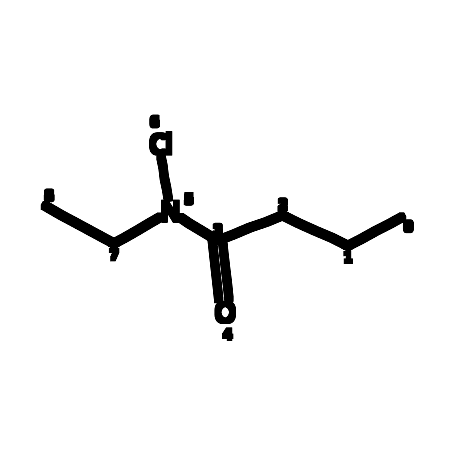 CCCC(=O)N(Cl)CC